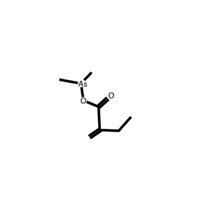 C=C(CC)C(=O)O[As](C)C